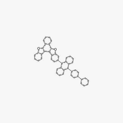 c1ccc(-c2ccc(-c3c4ccccc4c(-c4ccc5c(c4)oc4c6ccccc6c6oc7ccccc7c6c54)c4ccccc34)cc2)cc1